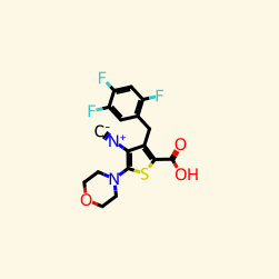 [C-]#[N+]c1c(N2CCOCC2)sc(C(=O)O)c1Cc1cc(F)c(F)cc1F